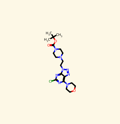 CC(C)(C)OC(=O)N1CCN(CCn2nnc3c(N4CCOCC4)nc(Cl)nc32)CC1